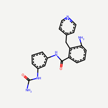 NC(=O)Nc1cccc(NC(=O)c2cccc(N)c2Cc2ccncc2)c1